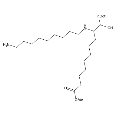 CCCCCCCCC(O)C(CCCCCCCC(=O)OC)NCCCCCCCCCN